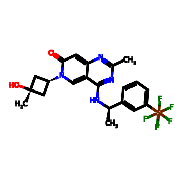 Cc1nc(N[C@H](C)c2cccc(S(F)(F)(F)(F)F)c2)c2cn([C@H]3C[C@](C)(O)C3)c(=O)cc2n1